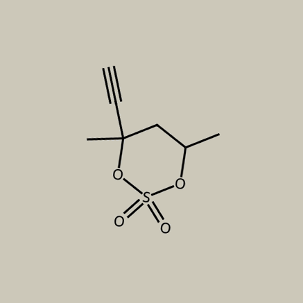 C#CC1(C)CC(C)OS(=O)(=O)O1